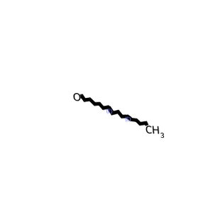 CCCC/C=C/CC/C=C/CCCCCC=O